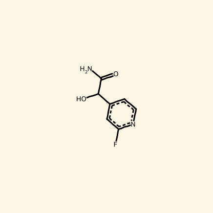 NC(=O)C(O)c1ccnc(F)c1